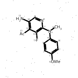 COc1ccc(N(C)c2ncc(N)c(C(C)=O)c2F)cc1